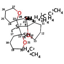 C.C.C.C.C.C.C[Si](C1([SiH3])CCCCO1)(C1([SiH3])CCCCO1)C1([SiH3])CCCCO1